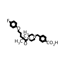 CC(C)(CCCOc1ccc(F)cc1)C(=O)N1CCN(Cc2ccc(C(=O)O)cc2)CC1